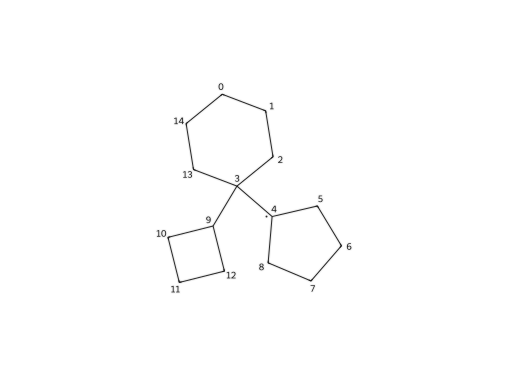 C1CCC([C]2CCCC2)(C2CCC2)CC1